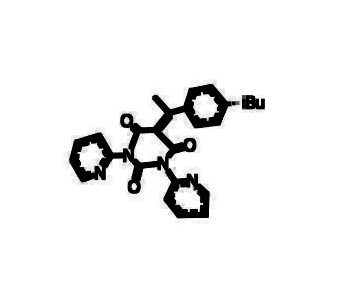 CC[C@@H](C)c1ccc(C(C)=C2C(=O)N(c3ccccn3)C(=O)N(c3ccccn3)C2=O)cc1